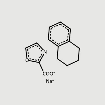 O=C([O-])c1ncco1.[Na+].c1ccc2c(c1)CCCC2